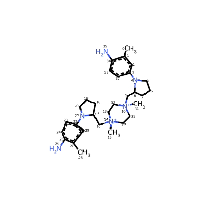 Cc1cc(N2CCCC2C[N+]2(C)CC[N+](C)(CC3CCCN3c3ccc(N)c(C)c3)CC2)ccc1N